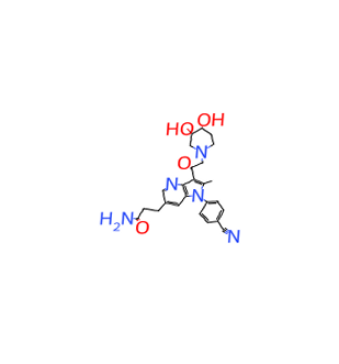 Cc1c(C(=O)CN2CCC(O)C(O)C2)c2ncc(CCC(N)=O)cc2n1-c1ccc(C#N)cc1